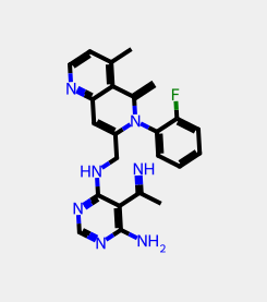 C=C1c2c(C)ccnc2C=C(CNc2ncnc(N)c2C(C)=N)N1c1ccccc1F